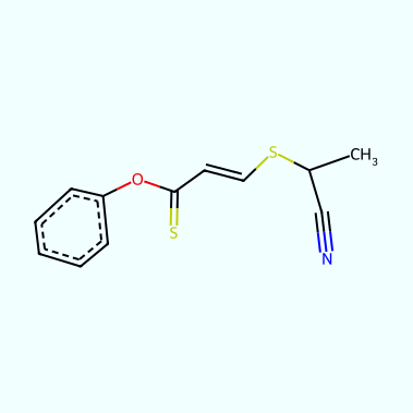 CC(C#N)SC=CC(=S)Oc1ccccc1